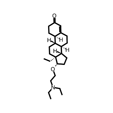 CCN(CC)CCO[C@H]1CC[C@H]2[C@@H]3CCC4=CC(=O)CC[C@@H]4[C@H]3CC[C@]12CC